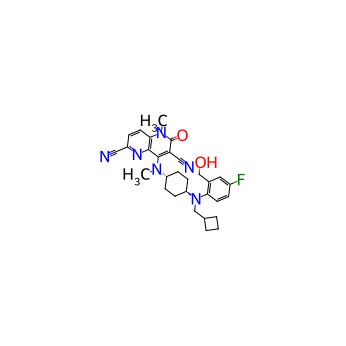 Cn1c(=O)c(C#N)c(N(C)[C@H]2CC[C@H](N(CC3CCC3)c3ccc(F)cc3CO)CC2)c2nc(C#N)ccc21